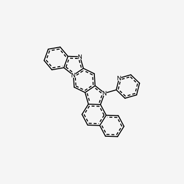 c1ccc(-n2c3cc4nc5ccccc5n4cc3c3ccc4ccccc4c32)nc1